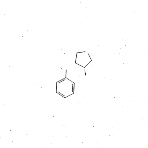 O[C@@H]1CNC[C@H]1Oc1ccccc1